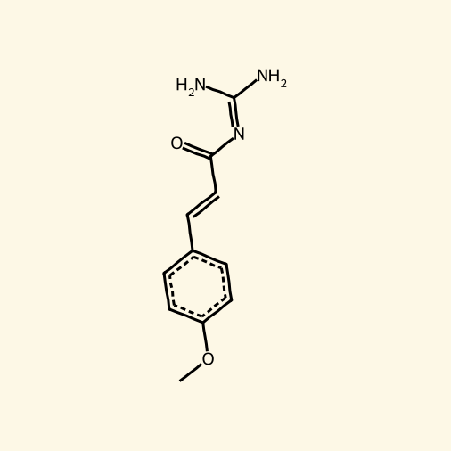 COc1ccc(/C=C/C(=O)N=C(N)N)cc1